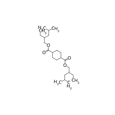 CCC(COC(=O)C1CCC(C(=O)OCC(CC)CC(C)C)CC1)CC(C)C